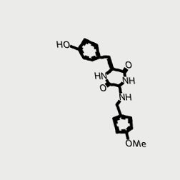 COc1ccc(CNC2NC(=O)C(=Cc3ccc(O)cc3)NC2=O)cc1